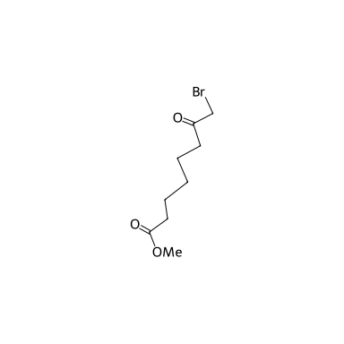 COC(=O)CCCCCC(=O)CBr